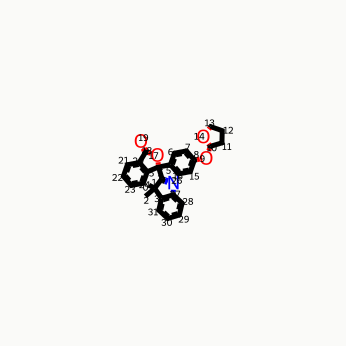 CC1(C)C(C2(c3ccc(OC4CCCO4)cc3)OC(=O)c3ccccc32)=Nc2ccccc21